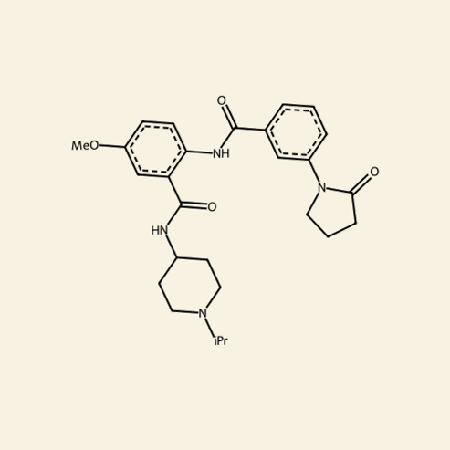 COc1ccc(NC(=O)c2cccc(N3CCCC3=O)c2)c(C(=O)NC2CCN(C(C)C)CC2)c1